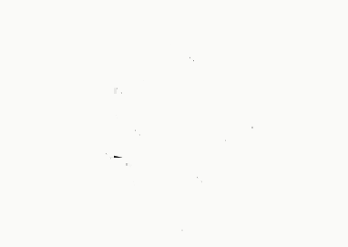 CC(C)(O)c1nc(CO)c([S@](N)(=O)=NC(=O)Nc2c3c(nc4c2CCC4)CCC3)s1